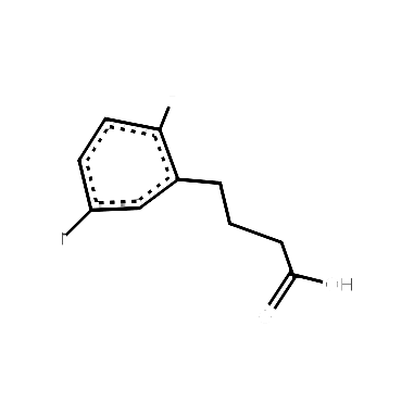 O=C(O)CCCc1cc(I)ccc1F